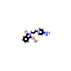 CNc1cc[n+](CCCN2C(=O)c3ccccc3C2=O)cc1.[Br-]